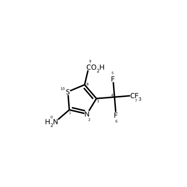 Nc1nc(C(F)(F)C(F)(F)F)c(C(=O)O)s1